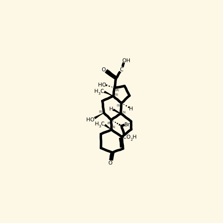 C[C@]12CCC(=O)C=C1CC[C@H]1[C@@H]3CC[C@](O)(C(=O)CO)[C@@]3(C)C[C@H](O)[C@@]12C(Br)C(=O)O